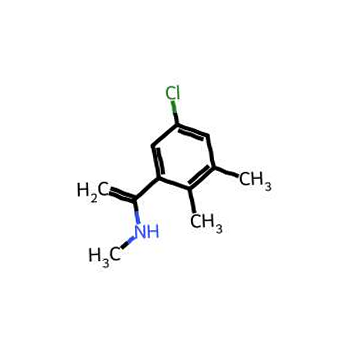 C=C(NC)c1cc(Cl)cc(C)c1C